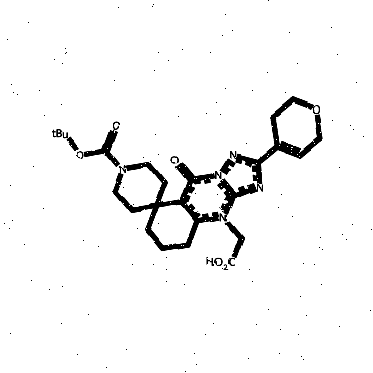 CC(C)(C)OC(=O)N1CCC2(CCCc3c2c(=O)n2nc(C4=CCOCC4)nc2n3CC(=O)O)CC1